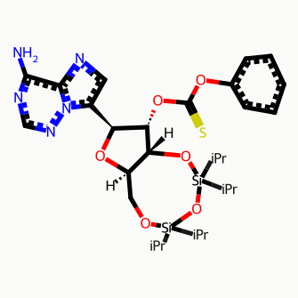 CC(C)[Si]1(C(C)C)OC[C@H]2O[C@@H](c3cnc4c(N)ncnn34)[C@H](OC(=S)Oc3ccccc3)[C@@H]2O[Si](C(C)C)(C(C)C)O1